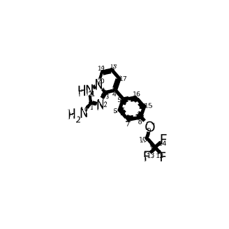 NC1N=C2C(c3ccc(OCC(F)(F)F)cc3)=CC=CN2N1